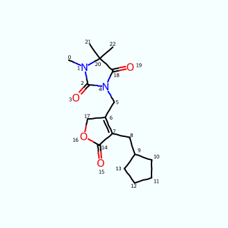 CN1C(=O)N(CC2=C(CC3CCCC3)C(=O)OC2)C(=O)C1(C)C